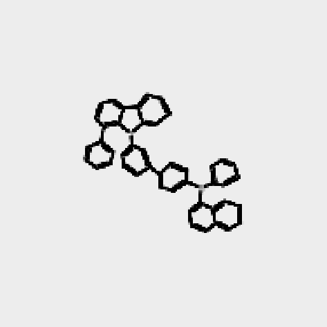 c1ccc(-c2cccc3c4ccccc4n(-c4cccc(-c5ccc(N(c6ccccc6)c6cccc7ccccc67)cc5)c4)c23)cc1